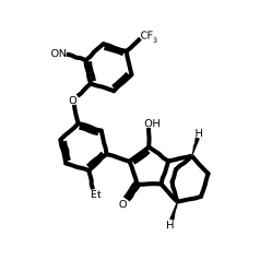 CCc1ccc(Oc2ccc(C(F)(F)F)cc2N=O)cc1C1=C(O)C2C(C1=O)[C@H]1CC[C@@H]2CC1